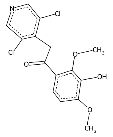 COc1ccc(C(=O)Cc2c(Cl)cncc2Cl)c(OC)c1O